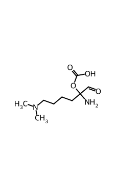 CN(C)CCCCC(N)(C=O)OC(=O)O